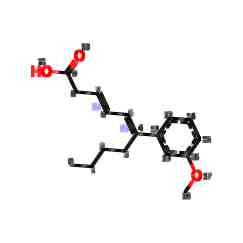 CCCC/C(=C\C=C\CC(=O)O)c1cccc(OC)c1